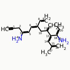 C#CC/C(N)=C\C=C(\C=C)CC(=C)C(=C/C(=C)C)/C(N)=C\C